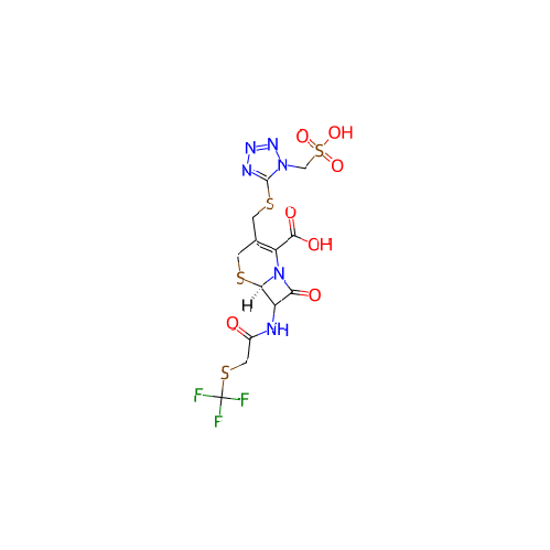 O=C(CSC(F)(F)F)NC1C(=O)N2C(C(=O)O)=C(CSc3nnnn3CS(=O)(=O)O)CS[C@H]12